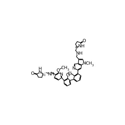 COc1nc(-c2cccc(-c3cccc(-c4cc5c(cn4)c(CNC[C@H]4CCC(=O)N4)cn5C)c3Cl)c2Cl)ccc1CNC[C@@H]1CCC(=O)N1